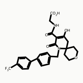 O=C(O)CNC(=O)C1=C(O)CC2(CCOCC2)N(Cc2ccc(-c3ccc(C(F)(F)F)cc3)cc2)C1=O